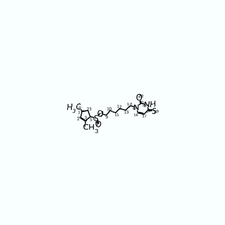 CC1CC(C)C(S(=O)OCCCCCCn2ccc(=S)[nH]c2=O)C1